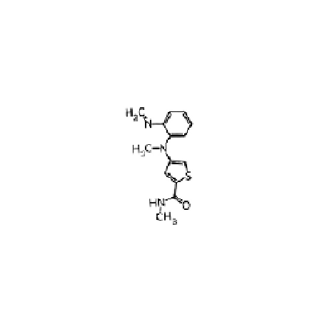 C=Nc1ccccc1N(C)c1csc(C(=O)NC)c1